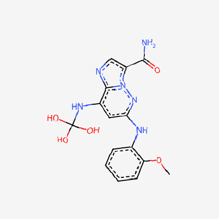 COc1ccccc1Nc1cc(NC(O)(O)O)c2ncc(C(N)=O)n2n1